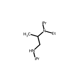 CCN(C(C)C)C(C)CNC(C)C